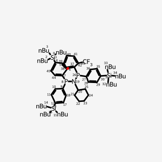 CCCC[Si](CCCC)(CCCC)c1ccc(P(c2ccc([Si](CCCC)(CCCC)CCCC)cc2)N(C2CCCCC2)P(c2ccc([Si](CCCC)(CCCC)CCCC)cc2)c2ccccc2C(F)(F)F)cc1